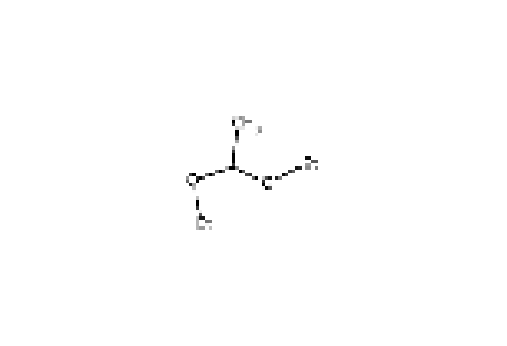 [CH2]COC(C)OCC